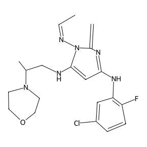 C=C1N=C(Nc2cc(Cl)ccc2F)C=C(NCC(C)N2CCOCC2)N1/N=C\C